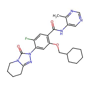 Cc1ncncc1NC(=O)c1cc(F)c(-n2nc3n(c2=O)CCCC3)cc1OCC1CCCCC1